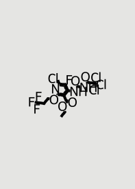 CCOC(=O)c1c(OCCC(F)(F)F)nc(Cl)c(F)c1NC(=O)NC(=O)C(Cl)(Cl)Cl